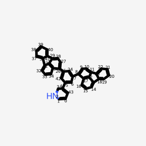 C1=CNCC(c2cc(-c3ccc4c5c(cccc35)-c3ccccc3-4)cc(-c3ccc4c5c(cccc35)-c3ccccc3-4)c2)=C1